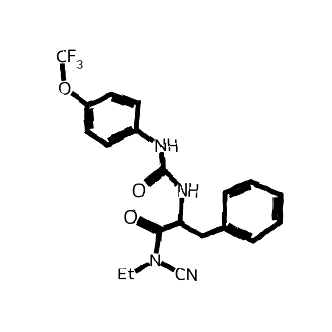 CCN(C#N)C(=O)C(Cc1ccccc1)NC(=O)Nc1ccc(OC(F)(F)F)cc1